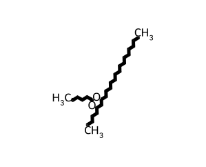 CCCCCCCCCCCCCCCCC(CCCCCCC)OC(=O)CCCCC